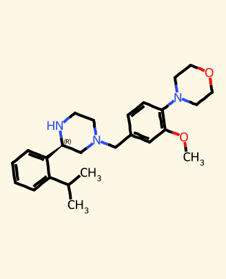 COc1cc(CN2CCN[C@H](c3ccccc3C(C)C)C2)ccc1N1CCOCC1